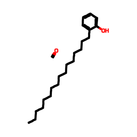 C=O.CCCCCCCCCCCCCCCCc1ccccc1O